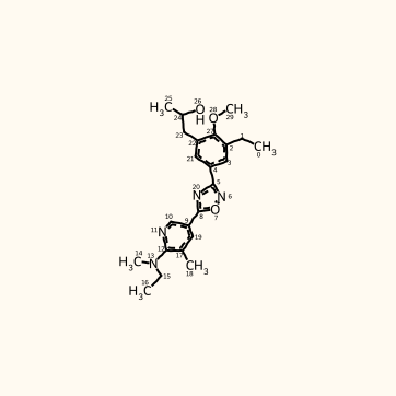 CCc1cc(-c2noc(-c3cnc(N(C)CC)c(C)c3)n2)cc(CC(C)O)c1OC